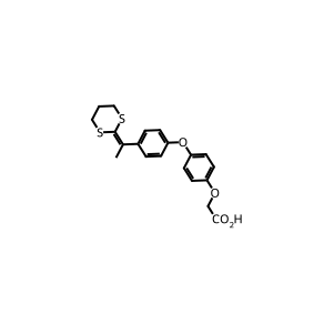 CC(=C1SCCCS1)c1ccc(Oc2ccc(OCC(=O)O)cc2)cc1